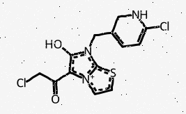 O=C(CCl)c1c(O)n(CC2=CC=C(Cl)NC2)c2scc[n+]12